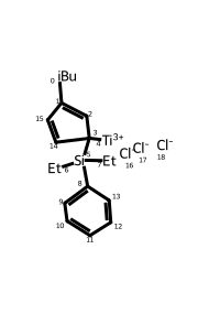 CCC(C)C1=C[C]([Ti+3])([Si](CC)(CC)c2ccccc2)C=C1.[Cl-].[Cl-].[Cl-]